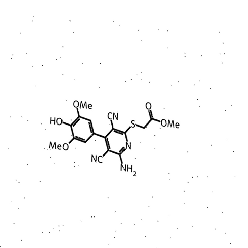 COC(=O)CSc1nc(N)c(C#N)c(-c2cc(OC)c(O)c(OC)c2)c1C#N